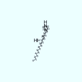 CCCCCCCCCCCCCCSCCCN1CCNCC1.I